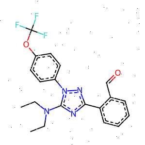 CCN(CC)c1nc(-c2ccccc2C=O)nn1-c1ccc(OC(F)(F)F)cc1